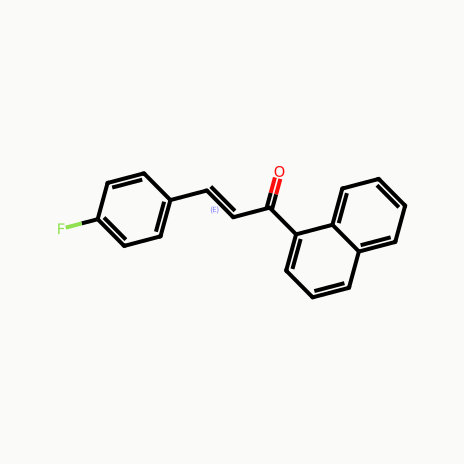 O=C(/C=C/c1ccc(F)cc1)c1cccc2ccccc12